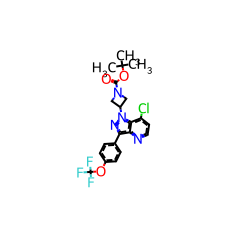 CC(C)(C)OC(=O)N1CC(n2nc(-c3ccc(OC(F)(F)F)cc3)c3nccc(Cl)c32)C1